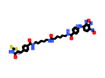 O=Nc1ccc(Nc2ccc(C(=O)NCCCCCC(=O)NCCCCCNC(=O)c3ccc(/C=C4\SC(=S)NC4=O)cc3)cc2)c2nonc12